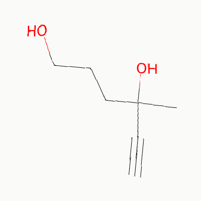 C#CC(C)(O)CCCO